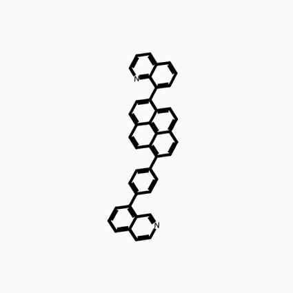 c1cc(-c2ccc(-c3ccc4ccc5c(-c6cccc7cccnc67)ccc6ccc3c4c65)cc2)c2cnccc2c1